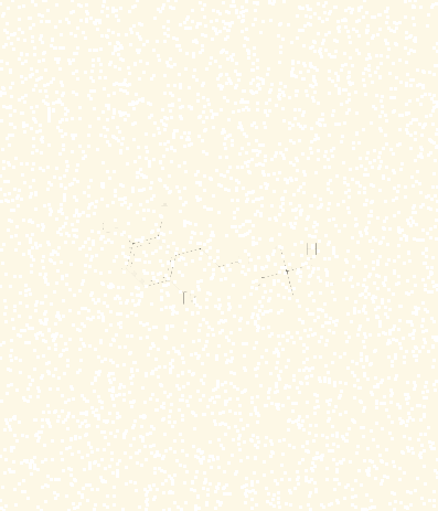 C[SiH](C)C(C)(C)COCCc1c(Br)ccc(Cl)c1F